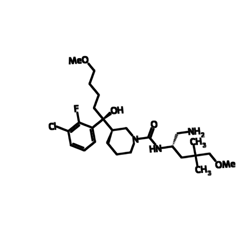 COCCCC[C@@](O)(c1cccc(Cl)c1F)[C@@H]1CCCN(C(=O)N[C@H](CN)CC(C)(C)COC)C1